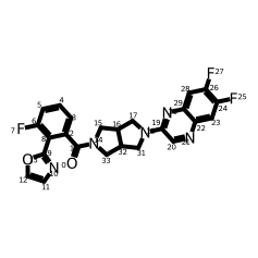 O=C(c1cccc(F)c1-c1ncco1)N1CC2CN(c3cnc4cc(F)c(F)cc4n3)CC2C1